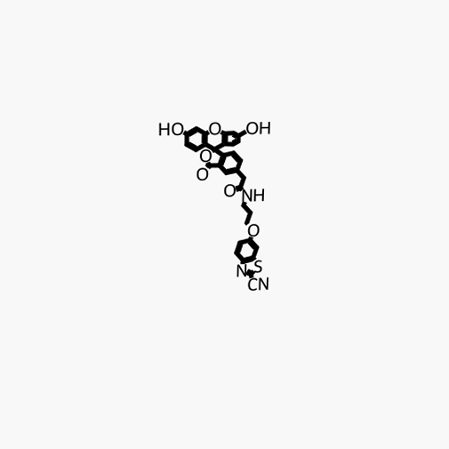 N#Cc1nc2ccc(OCCCNC(=O)Cc3ccc4c(c3)C(=O)OC43c4ccc(O)cc4Oc4cc(O)ccc43)cc2s1